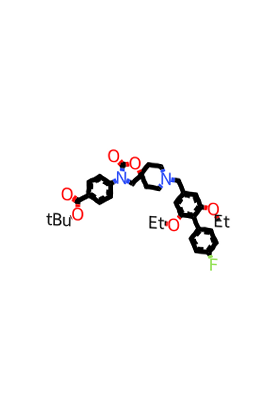 CCOc1cc(CN2CCC3(CC2)CN(c2ccc(C(=O)OC(C)(C)C)cc2)C(=O)O3)cc(OCC)c1-c1ccc(F)cc1